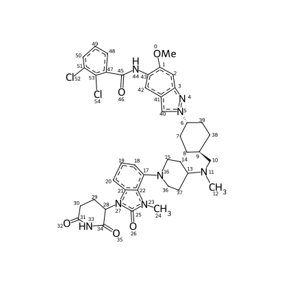 COc1cc2nn([C@H]3CC[C@H](CN(C)C4CCN(c5cccc6c5n(C)c(=O)n6C5CCC(=O)NC5=O)CC4)CC3)cc2cc1NC(=O)c1cccc(Cl)c1Cl